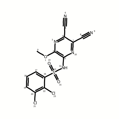 COc1nc(C#N)c(C#N)nc1NS(=O)(=O)c1cccc(Cl)c1Cl